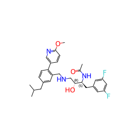 COc1ccc(-c2ccc(CC(C)C)cc2CNC[C@@H](O)[C@H](Cc2cc(F)cc(F)c2)NC(C)=O)cn1